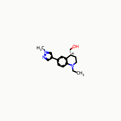 CCN1CC[C@@H](CO)c2cc(-c3cnn(C)c3)ccc21